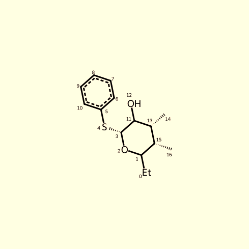 CCC1O[C@H](Sc2ccccc2)C(O)[C@H](C)[C@@H]1C